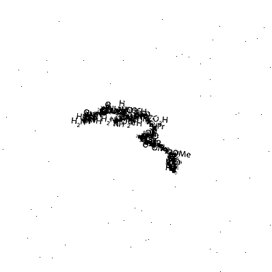 C=C1C[C@H]2C=Nc3cc(OCCCCCOc4cc5c(cc4OC)C(=O)N4CC(=C)C[C@H]4[C@H](O)N5C(=O)OC[C@@H](SSC[C@H](NC(=O)[C@H](CC(=O)O)NC(=O)[C@H](CC(=O)O)NC(=O)[C@H](CCCNC(=N)N)NC(=O)[C@H](CC(=O)O)NC(=O)CC[C@@H](C)NC(=O)c4ccc(NCc5cnc6nc(N)[nH]c(=O)c6n5)cc4)C(=O)O)C(C)C)c(OC)cc3C(=O)N2C1